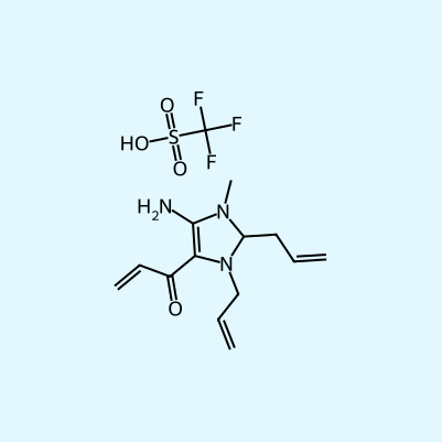 C=CCC1N(C)C(N)=C(C(=O)C=C)N1CC=C.O=S(=O)(O)C(F)(F)F